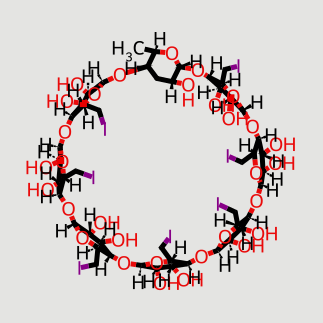 C[C@H]1O[C@@H]2O[C@H]3[C@H](O)[C@@H](O)[C@@H](O[C@H]4[C@H](O)[C@@H](O)[C@@H](O[C@H]5[C@H](O)[C@@H](O)[C@@H](O[C@H]6[C@H](O)[C@@H](O)[C@@H](O[C@H]7[C@H](O)[C@@H](O)[C@@H](O[C@H]8[C@H](O)[C@@H](O)[C@@H](O[C@H]9[C@H](O)[C@@H](O)[C@@H](O[C@H]1C[C@H]2O)O[C@@H]9CI)O[C@@H]8CI)O[C@@H]7CI)O[C@@H]6CI)O[C@@H]5CI)O[C@@H]4CI)O[C@@H]3CI